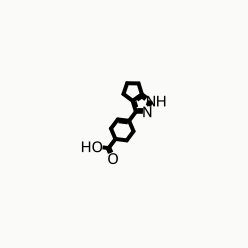 O=C(O)C1CC=C(c2n[nH]c3c2CCC3)CC1